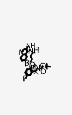 CC(CCCOc1ccc(F)cc1[C@@H](C)NC(=O)OC(C)(C)C)Nc1c(N)cnc2ccc(Br)cc12